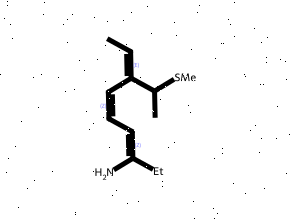 C\C=C(/C=C\C=C(/N)CC)C(C)SC